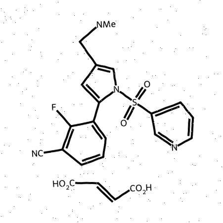 CNCc1cc(-c2cccc(C#N)c2F)n(S(=O)(=O)c2cccnc2)c1.O=C(O)C=CC(=O)O